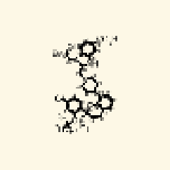 [2H]C([2H])([2H])Oc1cc(Cl)ccc1[C@@]1(C)C=Cc2cccc(C3CCN(CC4Nc5cc(C(=O)O)ccc5N4C[C@@H](O)CC)CC3)c2O1